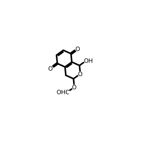 O=COC1CC2=C(C(=O)C=CC2=O)C(O)O1